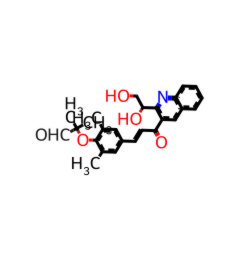 Cc1cc(/C=C/C(=O)c2cc3ccccc3nc2C(O)CO)cc(C)c1OC(C)(C)C=O